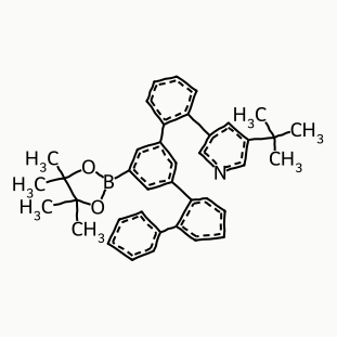 CC(C)(C)c1cncc(-c2ccccc2-c2cc(B3OC(C)(C)C(C)(C)O3)cc(-c3ccccc3-c3ccccc3)c2)c1